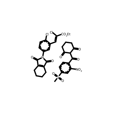 CCOC(=O)/C(Cl)=C/c1cc(N2C(=O)C3=C(CCCC3)C2=O)ccc1Cl.CS(=O)(=O)c1ccc(C(=O)C2C(=O)CCCC2=O)c([N+](=O)[O-])c1